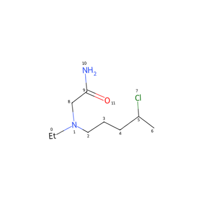 CCN(CCCC(C)Cl)CC(N)=O